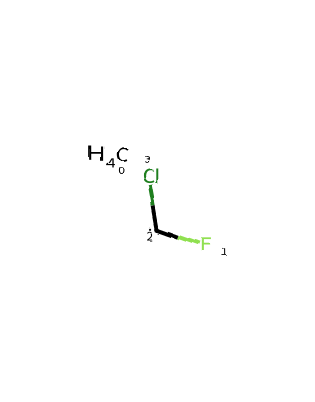 C.F[CH]Cl